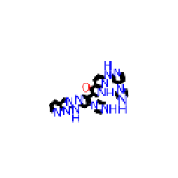 O=c1c(-c2cnc(Nc3ncc4cccnc4n3)cc2N2CCNCC2)c[nH]c2nc(Nc3cc(N4CCNCC4)ccn3)ccc12